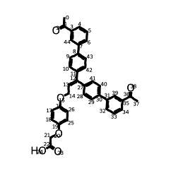 CC(=O)c1cccc(-c2ccc(C(=CCOc3ccc(OCC(=O)O)cc3)c3ccc(-c4cccc(C(C)=O)c4)cc3)cc2)c1